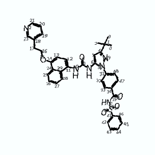 CC(C)(C)c1cc(NC(=O)Nc2ccc(OCCc3cccnc3)c3ccccc23)n(-c2ccc(C(=O)NS(=O)(=O)c3ccccc3)cc2)n1